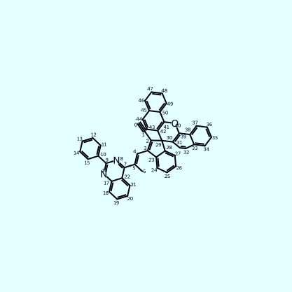 C#CC1=C(/C=C(\C)c2nc(-c3ccccc3)nc3ccccc23)c2ccccc2C12c1ccc3ccccc3c1Oc1c2ccc2ccccc12